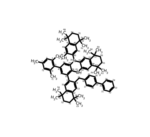 Cc1cc(C)c(-c2cc(-c3cc4c(cc3Cc3ccc(-c5ccccc5)cc3)C(C)(C)CCC4(C)C)c3c(c2)N(c2cc4c(cc2C)C(C)(C)CCC4(C)C)c2cc4c(cc2B3)C(C)(C)CCC4(C)C)c(C)c1